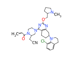 C=CC(=O)N1CCN(c2nc(OCC3CCCN3C)nc3c2CCC(N2CCCc4cccc(Cl)c42)C3)CC1CC#N